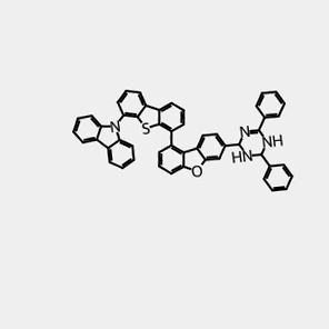 c1ccc(C2=NC(c3ccc4c(c3)oc3cccc(-c5cccc6c5sc5c(-n7c8ccccc8c8ccccc87)cccc56)c34)NC(c3ccccc3)N2)cc1